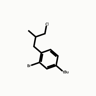 CC(CCl)Cc1ccc(C(C)(C)C)cc1Br